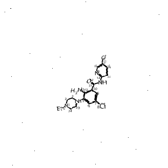 CCN1CCN(c2cc(Cl)cc(C(=O)Nc3ccc(Cl)cn3)c2N)CC1